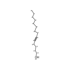 CCCCCCCCC#CCCCCO